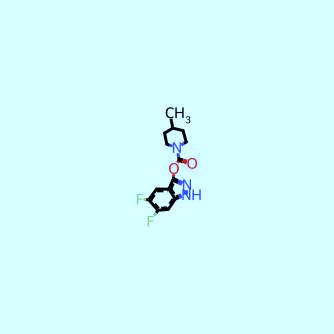 CC1CCN(C(=O)Oc2n[nH]c3cc(F)c(F)cc23)CC1